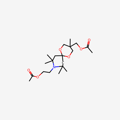 CC(=O)OCCN1C(C)(C)CC2(CC1(C)C)OCC(C)(COC(C)=O)CO2